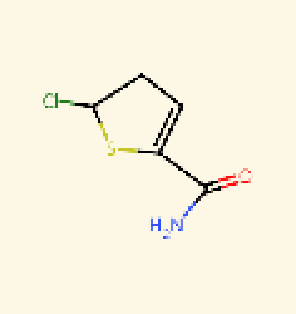 NC(=O)C1=CCC(Cl)S1